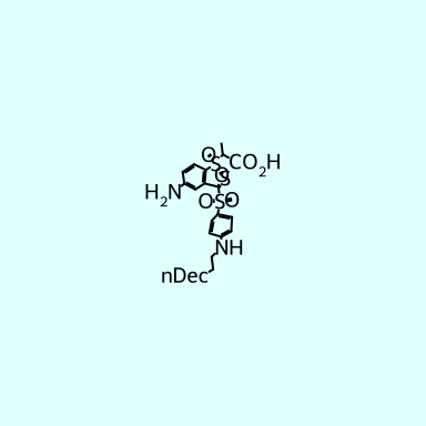 CCCCCCCCCCCCNc1ccc(S(=O)(=O)C(=S)c2cc(N)ccc2S(=O)(=O)C(C)C(=O)O)cc1